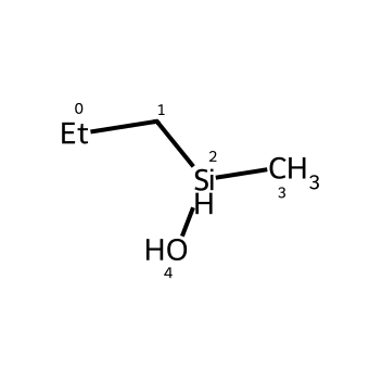 CCC[SiH](C)O